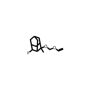 C=COCOC1(C)C2CC3CC(C2)C(F)C1C3